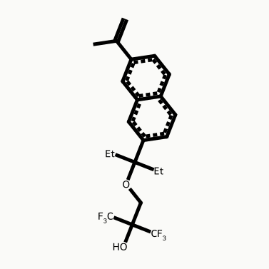 C=C(C)c1ccc2ccc(C(CC)(CC)OCC(O)(C(F)(F)F)C(F)(F)F)cc2c1